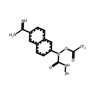 CC(C)NC(=O)N(OC(=O)C(F)(F)F)c1ccc2cc(C(=N)N)ccc2c1